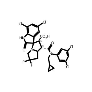 O=C(O)[C@H]1[C@H](C(=O)N(CC2CC2)c2cc(Cl)cc(Cl)c2)C2CC(F)(F)CN2C12C(=O)Nc1c(Cl)cc(Cl)cc12